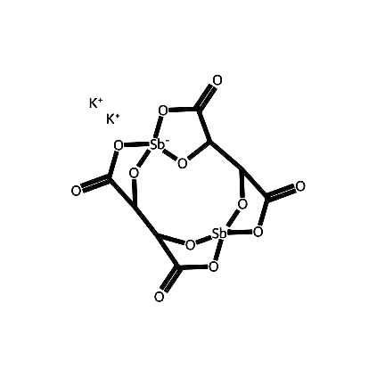 O=C1[O][Sb-]23[O]C(=O)C([O]2)C2[O][Sb-]4([O]C(=O)C([O]4)C1[O]3)[O]C2=O.[K+].[K+]